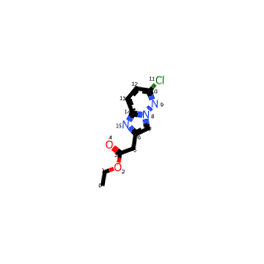 CCOC(=O)Cc1cn2nc(Cl)ccc2n1